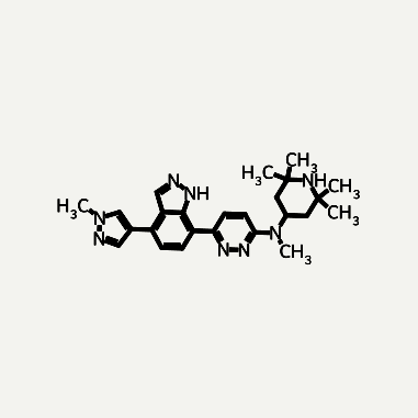 CN(c1ccc(-c2ccc(-c3cnn(C)c3)c3cn[nH]c23)nn1)C1CC(C)(C)NC(C)(C)C1